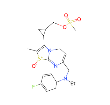 CCN(CC1=CCN2C(=N1)[S+]([O-])C(C)=C2C1CC1COS(C)(=O)=O)C1C=CC(F)=CC1